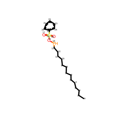 CCCCCCCCCCCCCCPOS(=O)(=O)c1ccccc1